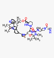 CCn1c(-c2cccnc2C(C)C)c2c3cc(ccc31)-c1csc(n1)C[C@H](NC(=O)[C@H](C(C)C)N(C)C(=O)N(C)CC1CN(C(=O)[C@@H]3CN3)C1)C(=O)N1CCC[C@H](N1)C(=O)OCC(C)(C)C2